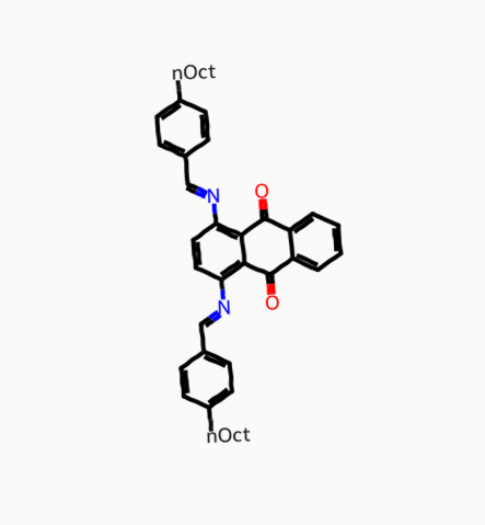 CCCCCCCCc1ccc(C=Nc2ccc(N=Cc3ccc(CCCCCCCC)cc3)c3c2C(=O)c2ccccc2C3=O)cc1